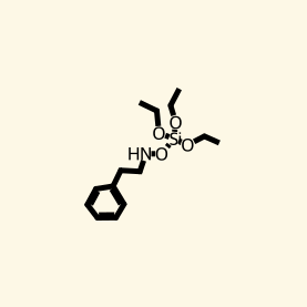 CCO[Si](OCC)(OCC)ONCCc1ccccc1